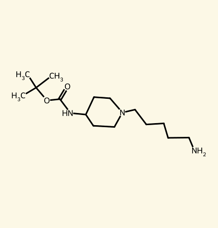 CC(C)(C)OC(=O)NC1CCN(CCCCCN)CC1